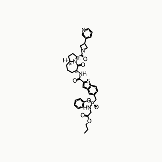 CCCOC(=O)CNP(=O)(Cc1ccc2sc(C(=O)N[C@H]3CCC[C@H]4CC[C@@H](C(=O)N5CC(c6cccnc6)C5)N4C3=O)cc2c1)Oc1ccccc1